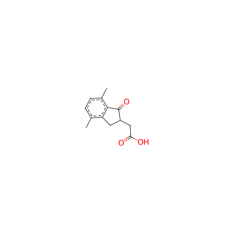 Cc1ccc(C)c2c1CC(CC(=O)O)C2=O